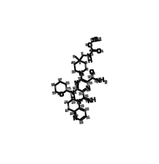 CC1(CNC(=O)OC(C)(C)C)CCN(c2nc(NC3CCCCO3)c(C(=N)N3CCCc4ncccc43)nc2C(N)=O)CC1